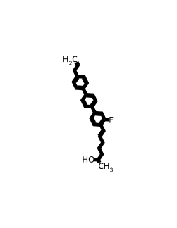 C=CCc1ccc(-c2ccc(-c3ccc(C=CCCCC(C)O)c(F)c3)cc2)cc1